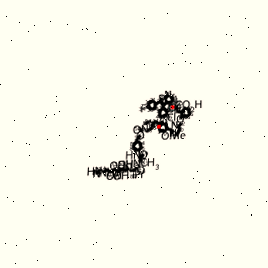 COc1ccccc1-c1nccc(COc2ccccc2C[C@@H](Oc2ncnc3sc(-c4ccc(F)cc4)c(-c4ccc(OCCN5CCN(C(=O)OCc6ccc(NC(=O)[C@H](C)NC(=O)[C@@H](NC[C@H](O)[C@@H](O)[C@@H](O)[C@H](O)CN[NH+]=[N-])C(C)C)cc6)CC5)c(Cl)c4C)c23)C(=O)O)n1